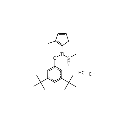 CC1=[C]([Ti]([O]c2cc(C(C)(C)C)cc(C(C)(C)C)c2)[SiH](C)C)CC=C1.Cl.Cl